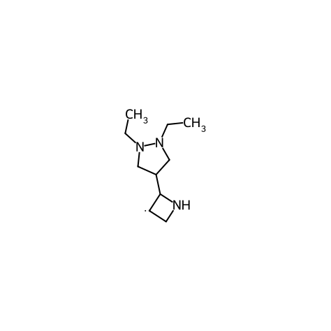 CCN1CC(C2[CH]CN2)CN1CC